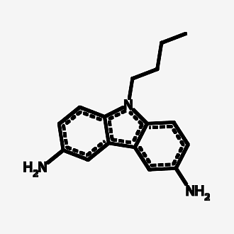 CCCCn1c2ccc(N)cc2c2cc(N)ccc21